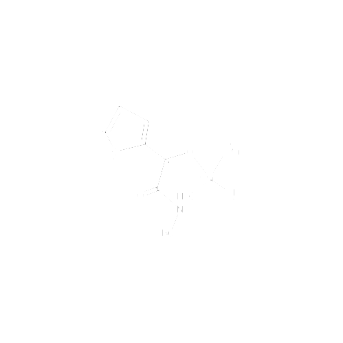 CCCCNC(=O)C(O[Si](C)(C)C(C)(C)C)c1ccco1